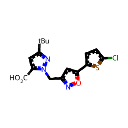 CC(C)(C)c1cc(C(=O)O)n(Cc2cc(-c3ccc(Cl)s3)on2)n1